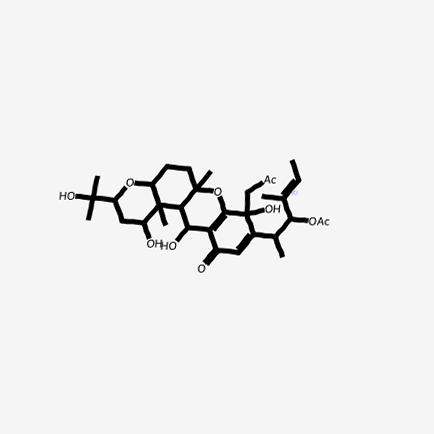 C/C=C(\C)C(OC(C)=O)C(C)C1=CC(=O)C2=C(OC3(C)CCC4OC(C(C)(C)O)CC(O)C4(C)C3C2O)C1(O)CC(C)=O